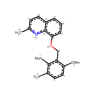 COc1ccc([N+](=O)[O-])c(SC)c1COc1cccc2ccc(C)nc12